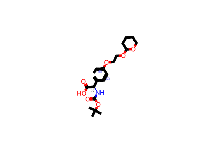 C=C(/C=C\C(=C/C)OCCOC1CCCCO1)[C@H](NC(=O)OC(C)(C)C)C(=O)O